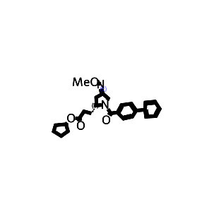 CO/N=C1\C[C@@H](CCC(=O)OC2CCCC2)N(C(=O)c2ccc(-c3ccccc3)cc2)C1